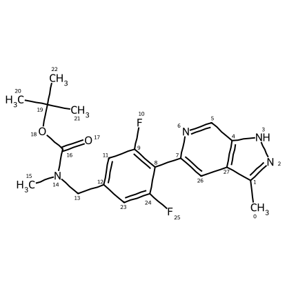 Cc1n[nH]c2cnc(-c3c(F)cc(CN(C)C(=O)OC(C)(C)C)cc3F)cc12